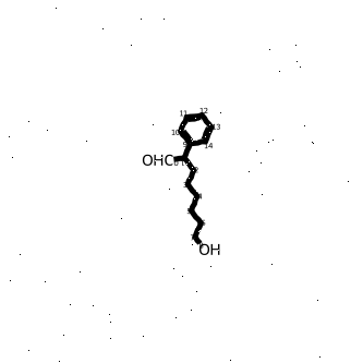 O=CC(CCCCCCO)c1ccccc1